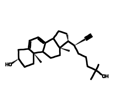 C#C[C@H](CCCC(C)(C)O)[C@H]1CCC2C3=CC=C4C[C@@H](O)CC[C@]4(C)C3CC[C@@]21C